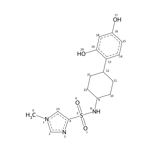 Cn1cnc(S(=O)(=O)NC2CCC(c3ccc(O)cc3O)CC2)c1